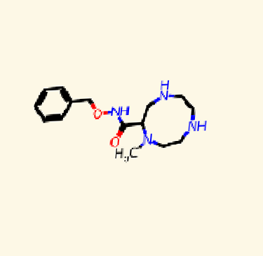 CN1CCNCCNCC1C(=O)NOCc1ccccc1